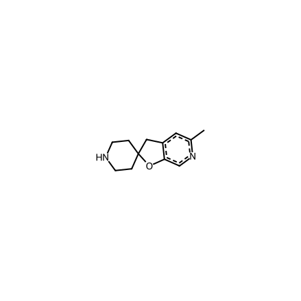 Cc1cc2c(cn1)OC1(CCNCC1)C2